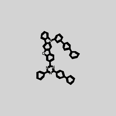 c1ccc(-c2ccc(-c3cccc(-n4c5ccccc5c5cc6oc7cc(-c8nc(-c9ccccc9)nc(-c9ccc(-c%10ccccc%10)cc9)n8)ccc7c6cc54)c3)cc2)cc1